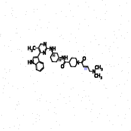 Cc1cnc(N[C@@H]2CCC[C@H](NC(=O)C3CCN(C(=O)/C=C/CN(C)C)CC3)C2)nc1-c1c[nH]c2ccccc12